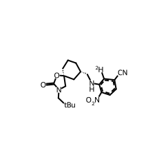 [2H]c1c(C#N)ccc([N+](=O)[O-])c1NC[C@H]1CCC[C@]2(C1)CN(CC(C)(C)C)C(=O)O2